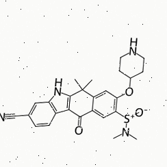 CN(C)[S+]([O-])c1cc2c(cc1OC1CCNCC1)C(C)(C)c1[nH]c3cc(C#N)ccc3c1C2=O